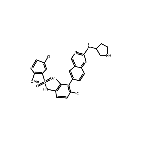 COc1ncc(Cl)cc1S(=O)(=O)Nc1ccc(Cl)c(-c2ccc3nc(NC4CCNC4)ncc3c2)c1Cl